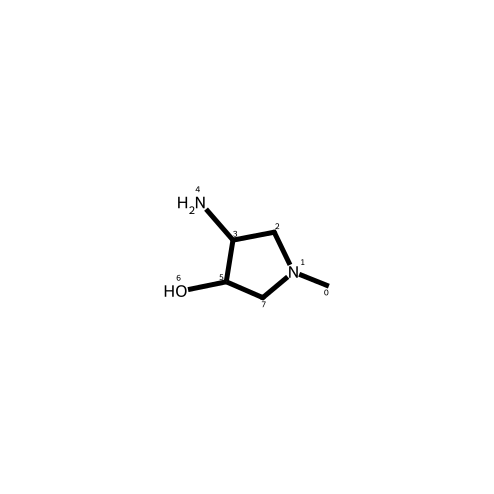 CN1CC(N)C(O)C1